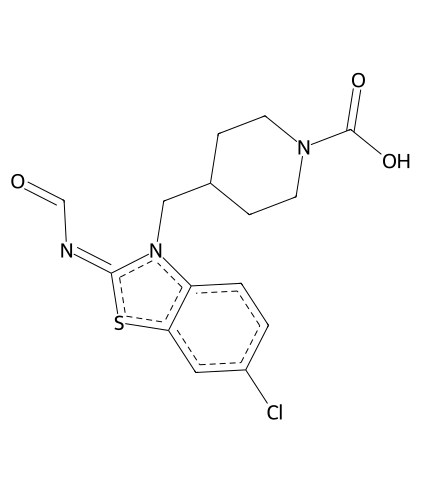 O=CN=c1sc2cc(Cl)ccc2n1CC1CCN(C(=O)O)CC1